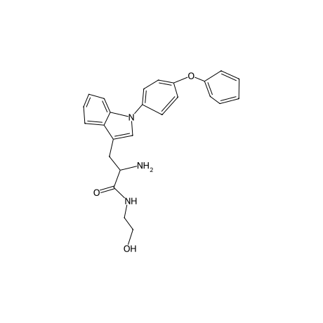 NC(Cc1cn(-c2ccc(Oc3ccccc3)cc2)c2ccccc12)C(=O)NCCO